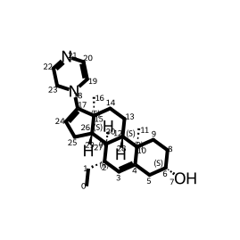 CC[C@H]1C=C2C[C@@H](O)CC[C@]2(C)[C@H]2CC[C@]3(C)C(N4C=CN=CC4)=CC[C@H]3[C@H]12